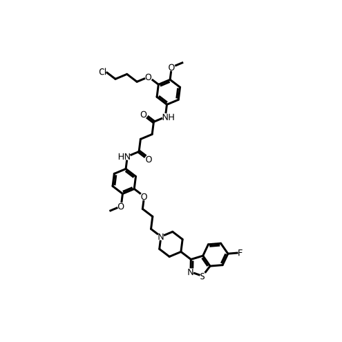 COc1ccc(NC(=O)CCC(=O)Nc2ccc(OC)c(OCCCN3CCC(c4nsc5cc(F)ccc45)CC3)c2)cc1OCCCCl